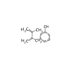 C=C(C)C(=C)C.Oc1ccccc1